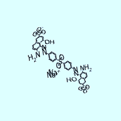 Nc1ccc2cc(S(=O)(=O)[O-])cc(O)c2c1N=Nc1ccc(S(=O)(=O)c2ccc(N=Nc3c(N)ccc4cc(S(=O)(=O)[O-])cc(O)c34)cc2)cc1.[Na+].[Na+]